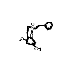 CCOc1ccc(/C=C\S(=O)(=O)/C=C/c2ccccc2)c(OC)c1